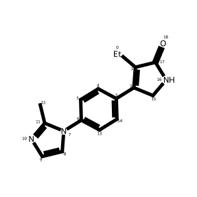 CCC1=C(c2ccc(-n3ccnc3C)cc2)CNC1=O